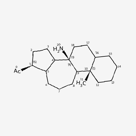 CC(=O)[C@H]1CCC2C1CCCC1[C@@]3(C)CCCCC3CC[C@@]21N